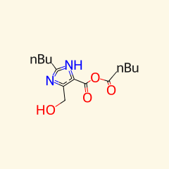 CCCCC(=O)OC(=O)c1[nH]c(CCCC)nc1CO